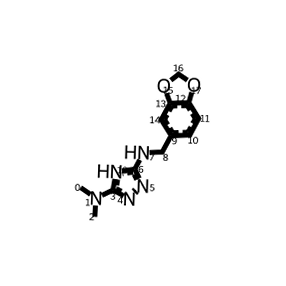 CN(C)c1nnc(NCc2ccc3c(c2)OCO3)[nH]1